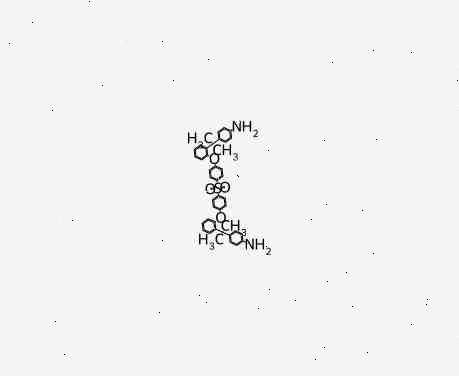 CC(C)(c1ccc(N)cc1)c1ccccc1Oc1ccc(S(=O)(=O)c2ccc(Oc3ccccc3C(C)(C)c3ccc(N)cc3)cc2)cc1